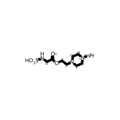 CCCN1CCN(CCOC(=O)CNS(=O)(=O)O)CC1